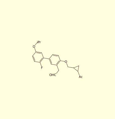 CC(=O)C1CC1COc1ccc(-c2cc(OC(C)C)ccc2F)cc1CC=O